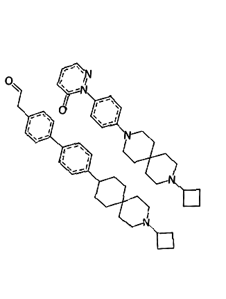 O=CCc1ccc(-c2ccc(C3CCC4(CC3)CCN(C3CCC3)CC4)cc2)cc1.O=c1cccnn1-c1ccc(N2CCC3(CC2)CCN(C2CCC2)CC3)cc1